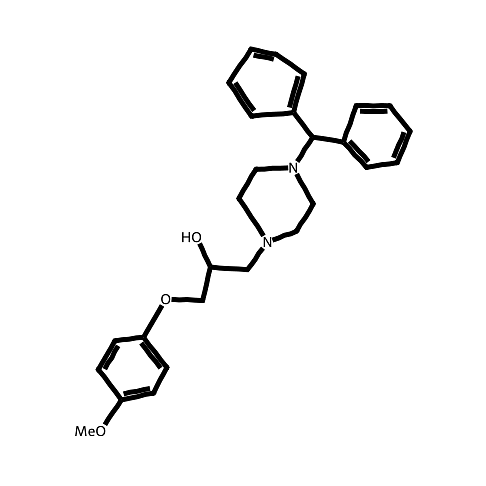 COc1ccc(OCC(O)CN2CCN(C(c3ccccc3)c3ccccc3)CC2)cc1